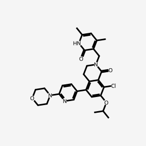 Cc1cc(C)c(CN2CCc3c(-c4ccc(N5CCOCC5)nc4)cc(OC(C)C)c(Cl)c3C2=O)c(=O)[nH]1